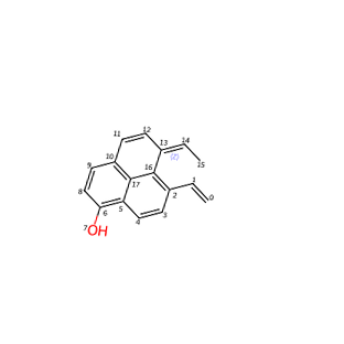 C=Cc1ccc2c(O)ccc3cc/c(=C/C)c1c32